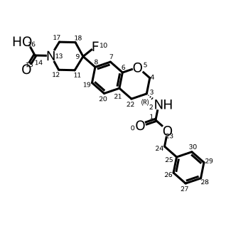 O=C(N[C@H]1COc2cc(C3(F)CCN(C(=O)O)CC3)ccc2C1)OCc1ccccc1